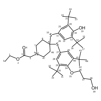 CCOC(=O)CN1CCC(Sc2cc(C(C)(C)C)c(O)c(C(C)(C)C)c2)(Sc2cc(C(C)(C)C)c(OCCCO)c(C(C)(C)C)c2)CC1